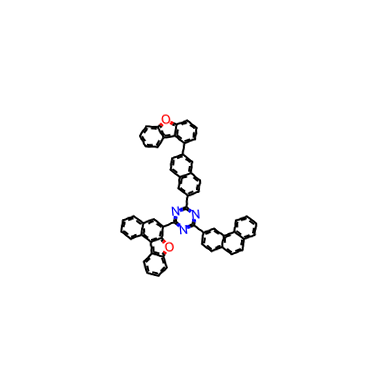 c1ccc2c(c1)ccc1ccc(-c3nc(-c4ccc5cc(-c6cccc7oc8ccccc8c67)ccc5c4)nc(-c4cc5ccccc5c5c4oc4ccccc45)n3)cc12